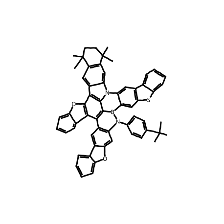 CC(C)(C)c1ccc(N2B3c4cc5sc6ccccc6c5cc4-n4c5cc6c(cc5c5c7oc8ccccc8c7c(c3c54)-c3cc4c(cc32)oc2ccccc24)C(C)(C)CCC6(C)C)cc1